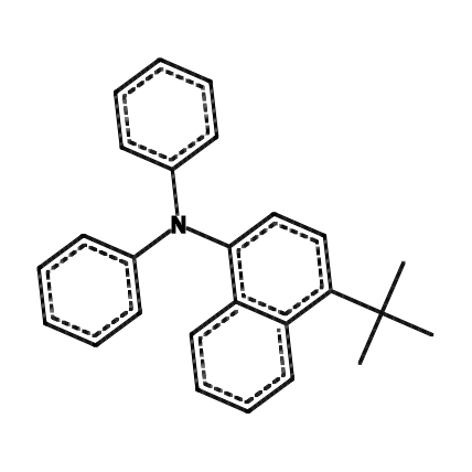 CC(C)(C)c1ccc(N(c2ccccc2)c2ccccc2)c2ccccc12